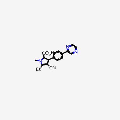 CCC1=C(C#N)C(c2ccc(-c3cnccn3)cc2)C(C(=O)O)N1C